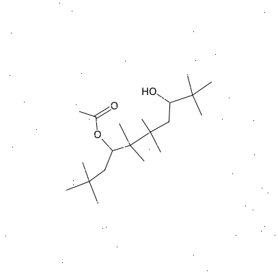 CC(=O)OC(CC(C)(C)C)C(C)(C)C(C)(C)CC(O)C(C)(C)C